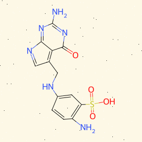 NC1=NC(=O)C2=C(CNc3ccc(N)c(S(=O)(=O)O)c3)C=NC2=N1